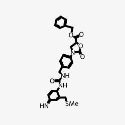 CSCC1=CC(=N)C=CC1NC(=O)NCc1ccc(N2CC(C(=O)OCc3ccccc3)OC2=O)cc1